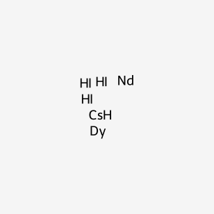 I.I.I.[CsH].[Dy].[Nd]